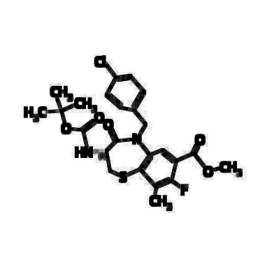 COC(=O)c1cc2c(c(C)c1F)SC[C@H](NC(=O)OC(C)(C)C)C(=O)N2Cc1ccc(Cl)cc1